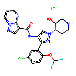 Cl.O=C(Nc1cn([C@H]2CCNC[C@@H]2O)nc1-c1cc(Cl)ccc1OC(F)F)c1cnn2cccnc12